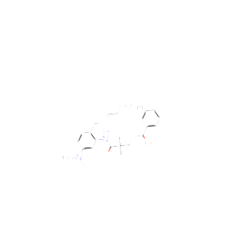 CC(C)N(C)c1ccc(CSCCC(=O)O)c(NC(=O)C(C)(C)CSC(=O)c2ccccc2)c1